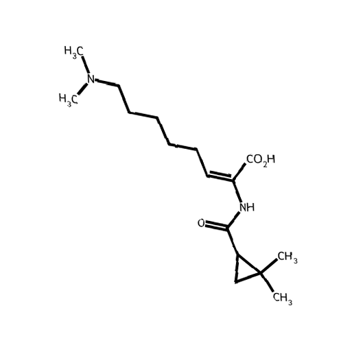 CN(C)CCCCCC=C(NC(=O)C1CC1(C)C)C(=O)O